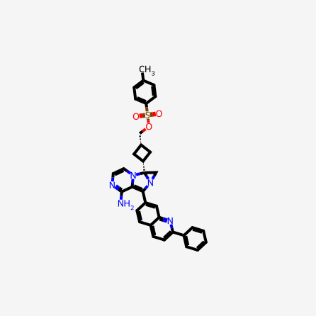 Cc1ccc(S(=O)(=O)OC[C@H]2C[C@@H](C34CN3C(c3ccc5ccc(-c6ccccc6)nc5c3)=C3C(N)=NC=CN34)C2)cc1